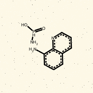 N[PH](=O)O.Nc1cccc2cccnc12